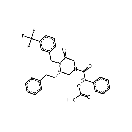 CC(=O)O[C@H](C(=O)N1CC(=O)N(Cc2cccc(C(F)(F)F)c2)[C@@H](CCc2ccccc2)C1)c1ccccc1